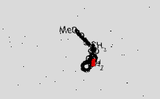 COCCOCCOCCN(C)C(=O)Oc1ccc2c(c1)[C@@]1(C)CCCCCC(C2)[C@@H]1N